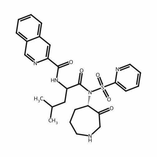 CC(C)CC(NC(=O)c1cc2ccccc2cn1)C(=O)N([C@H]1CCCNCC1=O)S(=O)(=O)c1ccccn1